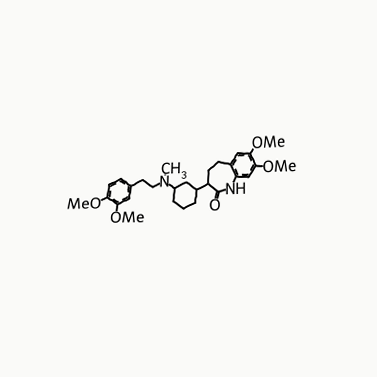 COc1ccc(CCN(C)C2CCCC(C3CCc4cc(OC)c(OC)cc4NC3=O)C2)cc1OC